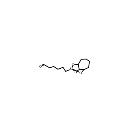 O=CCCCCC[Si]12OC3CCCCC(O1)C3O2